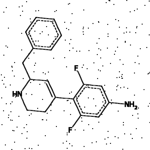 Nc1cc(F)c(C2=CC(Cc3ccccc3)NCC2)c(F)c1